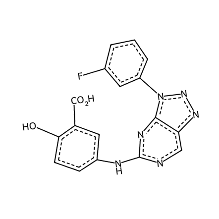 O=C(O)c1cc(Nc2ncc3nnn(-c4cccc(F)c4)c3n2)ccc1O